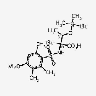 COc1cc(C)c(S(=O)(=O)N[C@@](C(=O)O)([C@@H](C)O[Si](C)(C)C(C)(C)C)C(C)(C)C)c(C)c1C